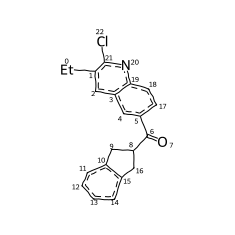 CCc1cc2cc(C(=O)C3Cc4ccccc4C3)ccc2nc1Cl